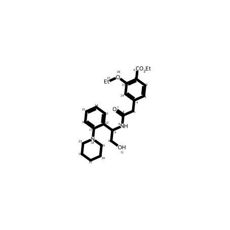 CCOC(=O)c1ccc(CC(=O)NC(CO)c2ccccc2N2CCCCC2)cc1OCC